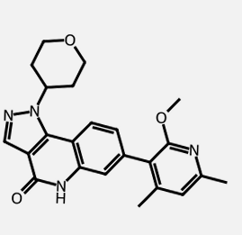 COc1nc(C)cc(C)c1-c1ccc2c(c1)[nH]c(=O)c1cnn(C3CCOCC3)c12